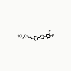 O=C(O)CCC=C[C@H]1CC[C@H]([C@H]2CC[C@H](c3ccc(F)c(F)c3)CC2)CC1